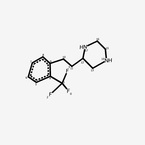 FC(F)(F)c1ccccc1CCC1CNCCN1